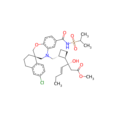 CC/C=C/[C@](O)(CC(=O)OC)[C@@H]1CC[C@H]1CN1C[C@@]2(CCCc3cc(Cl)ccc32)COc2ccc(C(=O)NS(=O)(=O)C(C)C)cc21